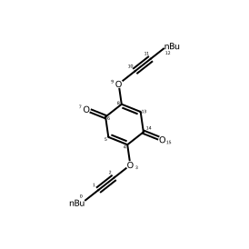 CCCCC#COC1=CC(=O)C(OC#CCCCC)=CC1=O